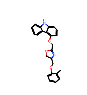 Cc1ccccc1OCC1COC(COc2cccc3[nH]c4ccccc4c23)=N1